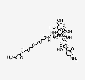 NOCC(=O)NCCOCCOCCOCCC(=O)NCC(=O)N[C@H]1C([C@H](O)[C@H](O)CO)O[C@](O[PH](O)(O)OC[C@H]2O[C@@H](n3ccc(N)nc3=O)[C@@H](O)C2O)(C(=O)O)C[C@H]1O